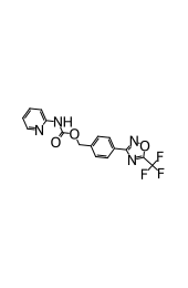 O=C(Nc1ccccn1)OCc1ccc(-c2noc(C(F)(F)F)n2)cc1